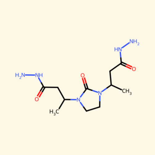 CC(CC(=O)NN)N1CCN(C(C)CC(=O)NN)C1=O